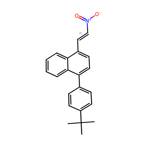 CC(C)(C)c1ccc(-c2ccc(/C=C/[N+](=O)[O-])c3ccccc23)cc1